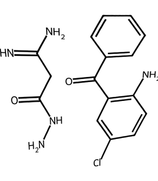 N=C(N)CC(=O)NN.Nc1ccc(Cl)cc1C(=O)c1ccccc1